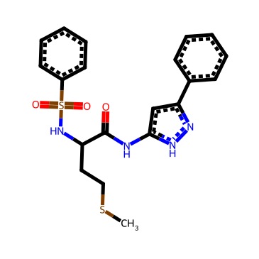 CSCCC(NS(=O)(=O)c1ccccc1)C(=O)Nc1cc(-c2ccccc2)n[nH]1